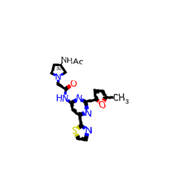 CC(=O)N[C@H]1CCN(CC(=O)Nc2cc(-c3nccs3)nc(-c3ccc(C)o3)n2)C1